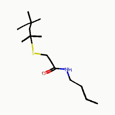 CCCCNC(=O)CSC(C)(C)C(C)(C)C